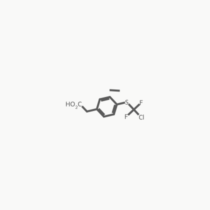 CC.O=C(O)Cc1ccc(SC(F)(F)Cl)cc1